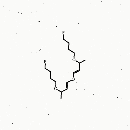 CC(C=COC=CC(C)OCCCCF)OCCCCF